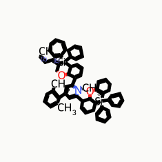 C/C=C\C=C1/COC2C(C3C=C(c4c(C)cccc4C)C=C(C4C=CCC5C4OC4=C(CCC=C4)[Si]5(c4ccccc4)c4ccccc4)N3C)=CC=CC2[Si]1(C1=CCC=CC=C1)C1C=CC=CC1